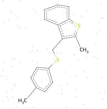 Cc1ccc(SCc2c(C)sc3ccccc23)cc1